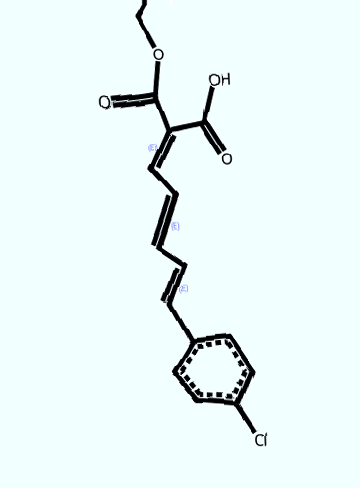 CCOC(=O)/C(=C/C=C/C=C/c1ccc(Cl)cc1)C(=O)O